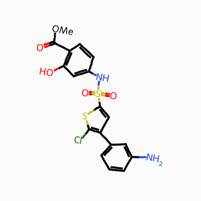 COC(=O)c1ccc(NS(=O)(=O)c2cc(-c3cccc(N)c3)c(Cl)s2)cc1O